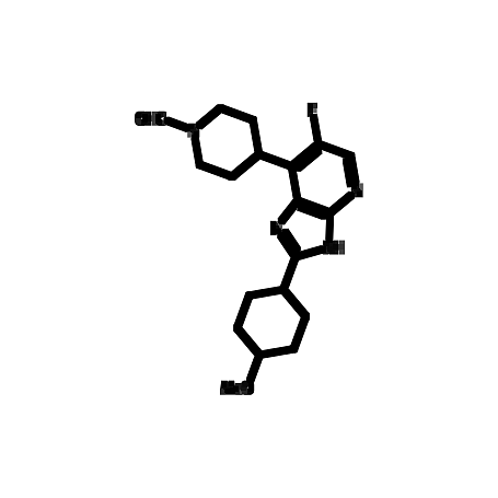 COC1CCC(c2nc3c(C4CCN(C=O)CC4)c(F)cnc3[nH]2)CC1